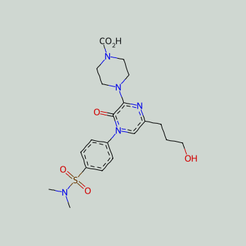 CN(C)S(=O)(=O)c1ccc(-n2cc(CCCO)nc(N3CCN(C(=O)O)CC3)c2=O)cc1